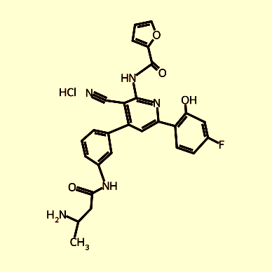 CC(N)CC(=O)Nc1cccc(-c2cc(-c3ccc(F)cc3O)nc(NC(=O)c3ccco3)c2C#N)c1.Cl